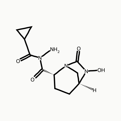 NN(C(=O)C1CC1)C(=O)[C@H]1CC[C@H]2CN1C(=O)N2O